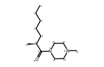 CCCCC[C@H](C)C(=O)N1CCN(C)CC1